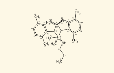 CCC[SiH]=[Hf]([CH3])([CH3])([CH]1C(C)=Cc2c(C)ccc(C)c21)[CH]1C(C)=Cc2c(C)ccc(C)c21